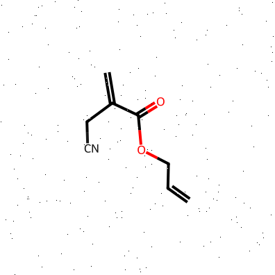 C=CCOC(=O)C(=C)CC#N